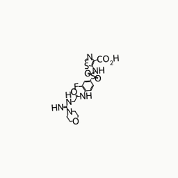 N=C(NCC(=O)Nc1ccc(S(=O)(=O)Nc2scnc2C(=O)O)cc1F)N1CCOCC1